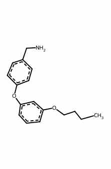 CCCCOc1cccc(Oc2ccc(CN)cc2)c1